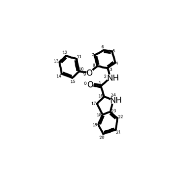 O=C(Nc1ccccc1Oc1ccccc1)C1Cc2ccccc2N1